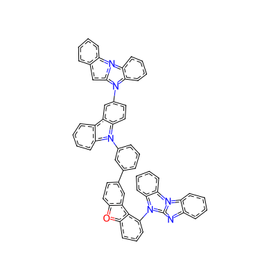 c1cc(-c2ccc3oc4cccc(-n5c6ccccc6n6c7ccccc7nc56)c4c3c2)cc(-n2c3ccccc3c3cc(-n4c5ccccc5n5c6ccccc6cc45)ccc32)c1